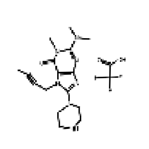 CC#CCn1c(N2CCNCC2)nc2nc(N(C)C)n(C)c(=O)c21.O=C(O)C(F)(F)F